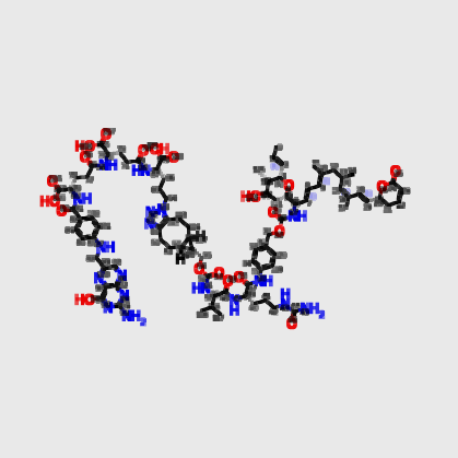 C/C=C/[C@@H]1O[C@H]([C@@H](/C=C/C=C(\C)C[C@@H](C)/C=C(C)\C=C\[C@H]2CC=CC(=O)O2)NC(=O)OCc2ccc(NC(=O)[C@H](CCCNC(N)=O)NC(=O)[C@@H](NC(=O)OC[C@@H]3[C@@H]4CCc5nnn(CCC[C@H](NC(=O)CC[C@H](NC(=O)CC[C@H](NC(=O)c6ccc(NCc7cnc8nc(N)nc(O)c8n7)cc6)C(=O)O)C(=O)O)C(=O)O)c5CC[C@@H]43)C(C)C)cc2)C[C@@H](O)[C@@H]1C